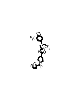 N#Cc1ccc(N(Cc2noc(C3CCN(C(=O)c4ccno4)CC3)n2)CC(F)(F)F)cc1C(F)(F)F